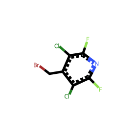 Fc1nc(F)c(Cl)c(CBr)c1Cl